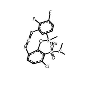 CN(C)S(=O)(=O)c1c(Cl)ccc(N=C=Nc2cccc(F)c2F)c1O[Si](C)(C)C(C)(C)C